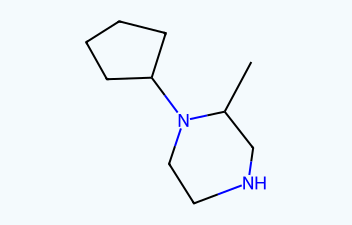 CC1CNCCN1C1CCCC1